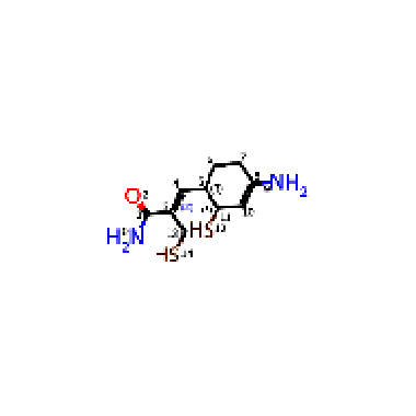 NC(=O)/C(=C/[C@H]1CCC(N)=C[C@H]1S)CS